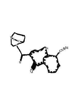 COc1cccc2c(=O)c(C(=O)N3CCN4CCC3CC4)c[nH]c12